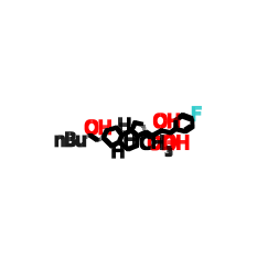 CCCC[C@H](O)C[C@@H]1CC[C@@H]2[C@H](CC[C@]3(C)[C@@H]([C@H](O)[C@@H](O)[C@@H](O)c4ccc(F)cc4)CC[C@@H]23)C1